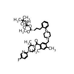 CO[C@@H](CCCc1ccccc1N1CCN(Cc2cc(C(=O)N3CCN(c4ccc(F)cn4)C[C@H]3C)c(C)cc2C)CC1)OC(=O)NC(C)(C)C